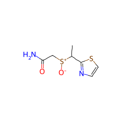 CC(c1nccs1)[S+]([O-])CC(N)=O